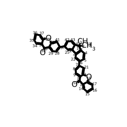 CC1(C)c2ccc(-c3ccc4c(=O)c5ccccc5oc4c3)cc2-c2cc(-c3ccc4c(=O)c5ccccc5oc4c3)ccc21